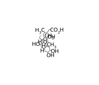 C[C@H](CCC(=O)O)[C@H]1CC[C@H]2[C@@H]3[C@H](O)C[C@@H]4C[C@H](O)[C@H](O)C[C@]4(C)[C@H]3C[C@H](O)[C@]12C